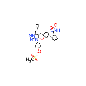 CCCc1c(Cc2ccc(-c3ccccc3-c3noc(=O)[nH]3)cc2)c(=O)n([C@H]2CC[C@H](OCCS(C)(=O)=O)CC2)c2ncnn12